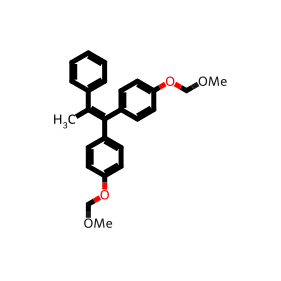 COCOc1ccc(C(=C(C)c2ccccc2)c2ccc(OCOC)cc2)cc1